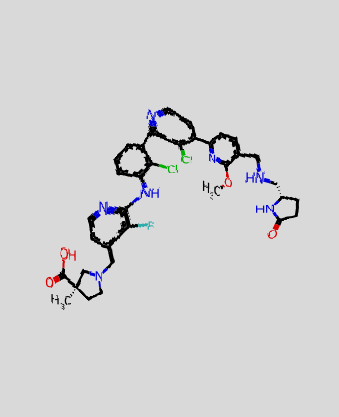 COc1nc(-c2ccnc(-c3cccc(Nc4nccc(CN5CC[C@@](C)(C(=O)O)C5)c4F)c3Cl)c2Cl)ccc1CNC[C@@H]1CCC(=O)N1